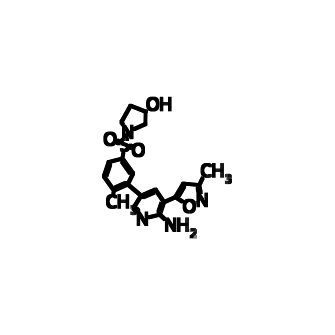 Cc1cc(-c2cc(-c3cc(S(=O)(=O)N4CCC(O)C4)ccc3C)cnc2N)on1